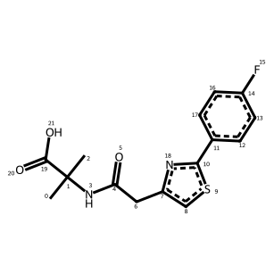 CC(C)(NC(=O)Cc1csc(-c2ccc(F)cc2)n1)C(=O)O